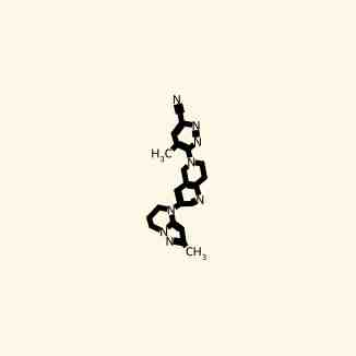 Cc1cc2n(n1)CCCN2c1cnc2c(c1)CN(c1nnc(C#N)cc1C)CC2